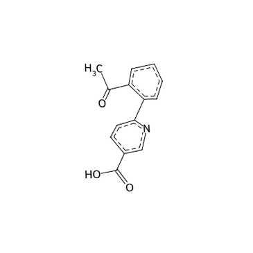 CC(=O)c1ccccc1-c1ccc(C(=O)O)cn1